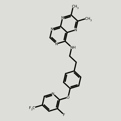 Cc1nc2ncnc(NCCc3ccc(Oc4ncc(C(F)(F)F)cc4F)cc3)c2nc1C